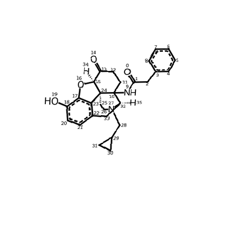 O=C(Cc1ccccc1)NC12CCC(=O)[C@@H]3Oc4c(O)ccc5c4[C@@]31CCN(CC1CC1)[C@@H]2C5